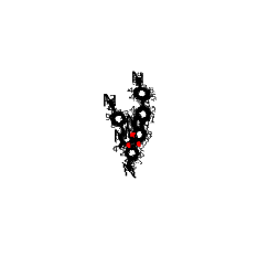 Cc1cc(C)nc(-c2ccc(C#N)cc2-n2c3cc(-c4ccc(C#N)cc4)ccc3c3ccc(-c4ccc(C#N)cc4)cc32)n1